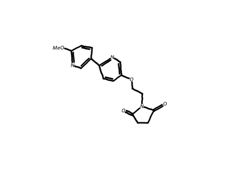 COc1ccc(-c2ccc(OCCN3C(=O)CCC3=O)cn2)cn1